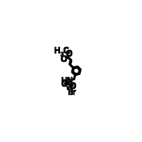 COC(=O)C=Cc1cccc(CNS(=O)(=O)CBr)c1